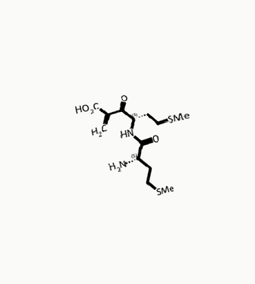 C=C(C(=O)O)C(=O)[C@H](CCSC)NC(=O)[C@@H](N)CCSC